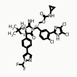 CC(C)(C)C[C@]1(c2ccc(-c3cnn(C(F)F)c3)cc2)NC(=N)N([C@H](COC(=O)NC2CC2)c2ccc(Cl)c(-c3nc(Cl)c(Cl)[nH]3)c2)C1=O